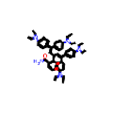 CCN(CC)c1ccc(C(=CC(C=C(c2ccc(N(CC)CC)cc2)c2ccc(N(CC)CC)cc2)c2cc(C)ccc2C(N)=O)c2ccc(N(CC)CC)cc2)cc1